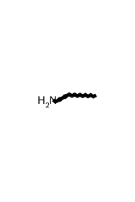 CCCCCCCCCCCC#CC#CCN